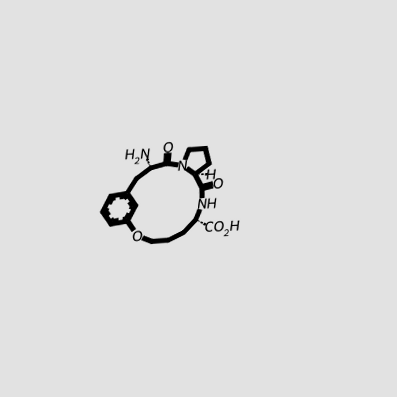 N[C@H]1Cc2cccc(c2)OCCC[C@@H](C(=O)O)NC(=O)[C@@H]2CCCN2C1=O